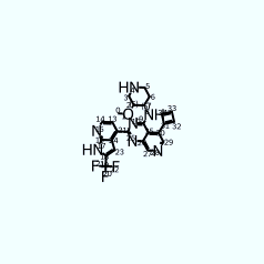 CO[C@H]1CNCC[C@@H]1Nc1nc(-c2ccnc3[nH]c(C(F)(F)F)cc23)nc2cncc(C3=CC=C3)c12